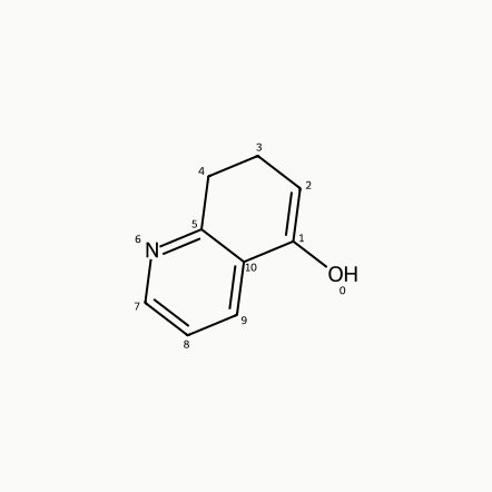 OC1=CCCc2ncccc21